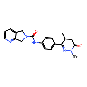 CC1CC(=O)N(C(C)C)N=C1c1ccc(NC(=O)N2Cc3cccnc3C2)cc1